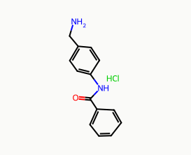 Cl.NCc1ccc(NC(=O)c2ccccc2)cc1